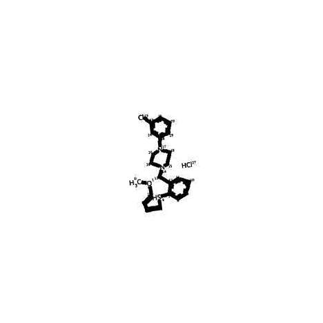 COC1=CC=C[SH]1c1ccccc1CN1CCN(c2cccc(Cl)c2)CC1.Cl